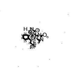 COc1nc(C)nc(N(C(N)=O)S(=O)(=O)c2ccccc2CCC(F)(F)F)n1